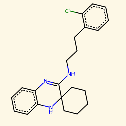 Clc1ccccc1CCCNC1=Nc2ccccc2NC12CCCCC2